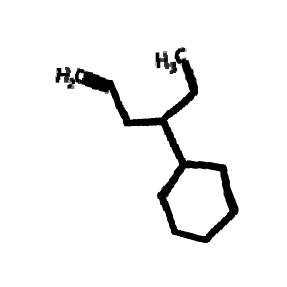 C=CCC(CC)C1CCCCC1